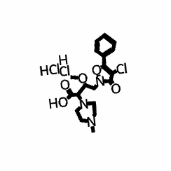 COC(Cn1oc(-c2ccccc2)c(Cl)c1=O)C(C(=O)O)N1CCN(C)CC1.Cl.Cl